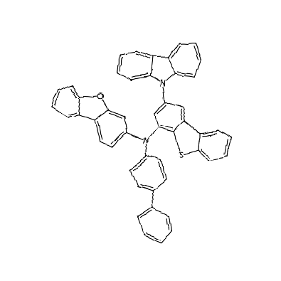 c1ccc(-c2ccc(N(c3ccc4c(c3)oc3ccccc34)c3cc(-n4c5ccccc5c5ccccc54)cc4c3sc3ccccc34)cc2)cc1